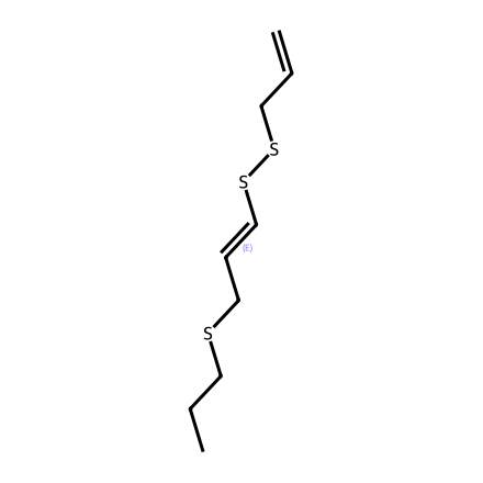 C=CCSS/C=C/CSCCC